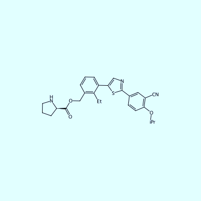 CCc1c(COC(=O)[C@H]2CCCN2)cccc1-c1cnc(-c2ccc(OC(C)C)c(C#N)c2)s1